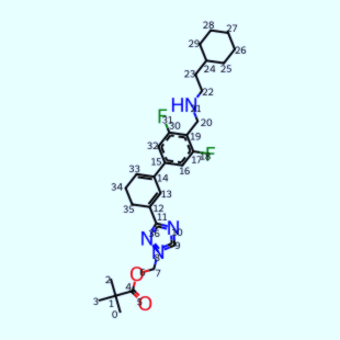 CC(C)(C)C(=O)OCn1cnc(C2=CC(c3cc(F)c(CNCCC4CCCCC4)c(F)c3)=CCC2)n1